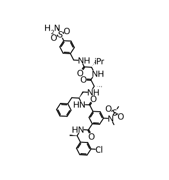 CC(C)[C@H](NC(=O)[C@H](C)NC[C@H](Cc1ccccc1)NC(=O)c1cc(C(=O)N[C@H](C)c2cccc(Cl)c2)cc(N(C)S(C)(=O)=O)c1)C(=O)NCc1ccc(S(N)(=O)=O)cc1